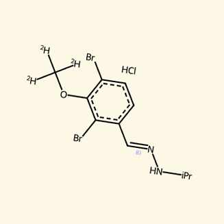 Cl.[2H]C([2H])([2H])Oc1c(Br)ccc(/C=N/NC(C)C)c1Br